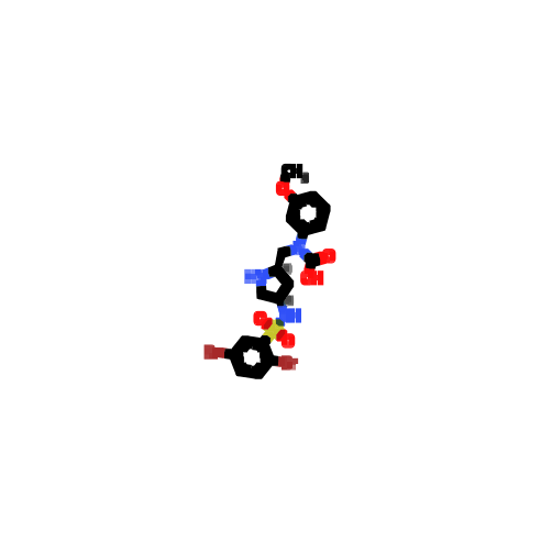 COc1cccc(N(C[C@H]2C[C@@H](NS(=O)(=O)c3cc(Br)ccc3Br)CN2)C(=O)O)c1